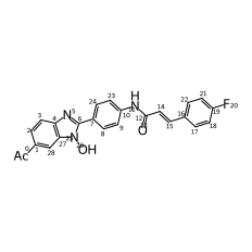 CC(=O)c1ccc2nc(-c3ccc(NC(=O)C=Cc4ccc(F)cc4)cc3)n(O)c2c1